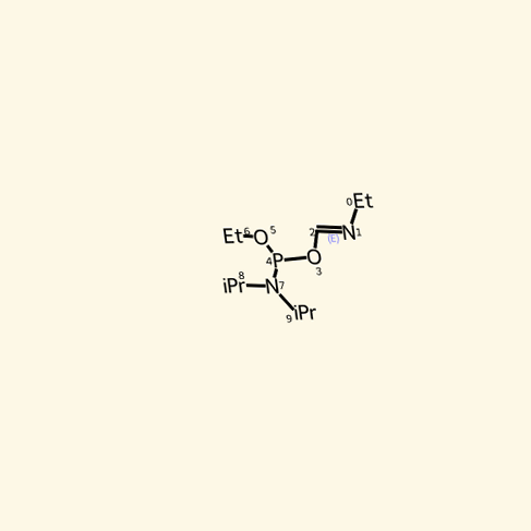 CC/N=C/OP(OCC)N(C(C)C)C(C)C